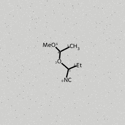 [C-]#[N+]C(CC)OC(C)OC